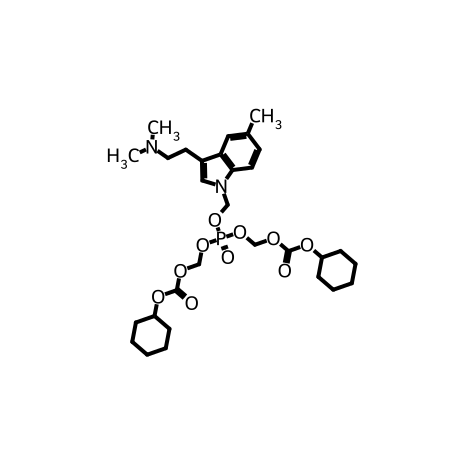 Cc1ccc2c(c1)c(CCN(C)C)cn2COP(=O)(OCOC(=O)OC1CCCCC1)OCOC(=O)OC1CCCCC1